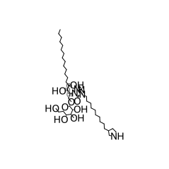 CCCCCCCCCCCCCC[C@@H](O)[C@@H](O)[C@H](COC1OC(CO)C(O)C(O)C1O)n1nnn(CCCCCCCCCCC2CCNC2)c1=O